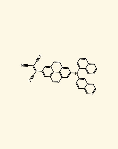 N#CC(C#N)=C(C#N)c1cc2ccc3cc(N(c4ccc5ccccc5c4)c4cccc5ccccc45)cc4ccc(c1)c2c34